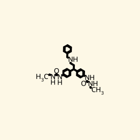 CCNC(=O)Nc1ccc(C(CCNCc2ccccc2)c2ccc(NC(=O)NCC)cc2)cc1